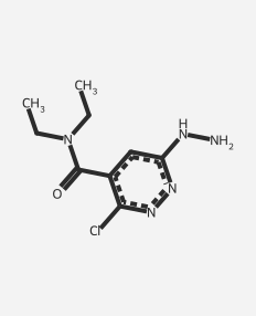 CCN(CC)C(=O)c1cc(NN)nnc1Cl